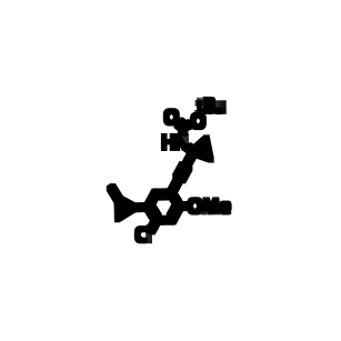 COc1cc(Cl)c(C2CC2C)cc1C#CC1(NC(=O)OC(C)(C)C)CC1